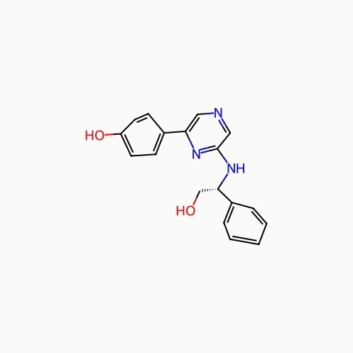 OC[C@H](Nc1cncc(-c2ccc(O)cc2)n1)c1ccccc1